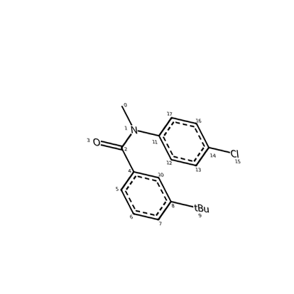 CN(C(=O)c1cccc(C(C)(C)C)c1)c1ccc(Cl)cc1